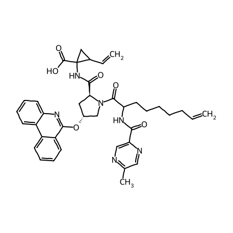 C=CCCCCCC(NC(=O)c1cnc(C)cn1)C(=O)N1C[C@H](Oc2nc3ccccc3c3ccccc23)C[C@H]1C(=O)NC1(C(=O)O)CC1C=C